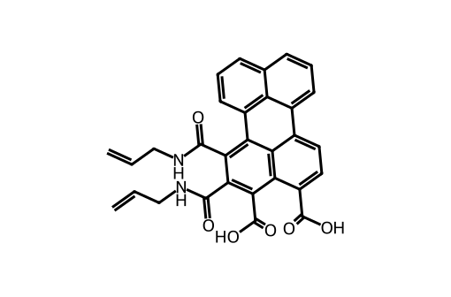 C=CCNC(=O)c1c(C(=O)O)c2c(C(=O)O)ccc3c4cccc5cccc(c(c1C(=O)NCC=C)c23)c54